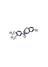 Cc1ccc(C(=O)N2C3CCC2c2cc(Br)ccc2C3)cc1C